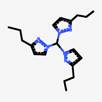 CCCc1ccn(C(n2ccc(CCC)n2)n2ccc(CCC)n2)n1